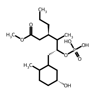 CCC[C@H](CC(=O)OC)C(C)[C@@H](CC1C[C@H](O)CCC1C)OP(=O)(O)O